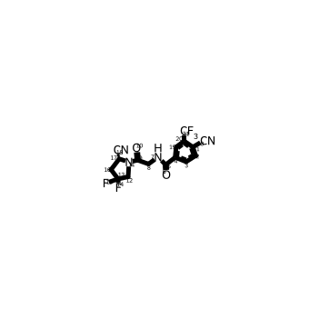 N#Cc1ccc(C(=O)NCC(=O)N2CC(F)(F)C[C@H]2C#N)cc1C(F)(F)F